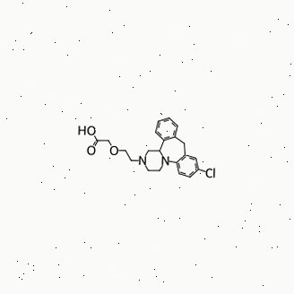 O=C(O)COCCN1CCN2c3ccc(Cl)cc3Cc3ccccc3C2C1